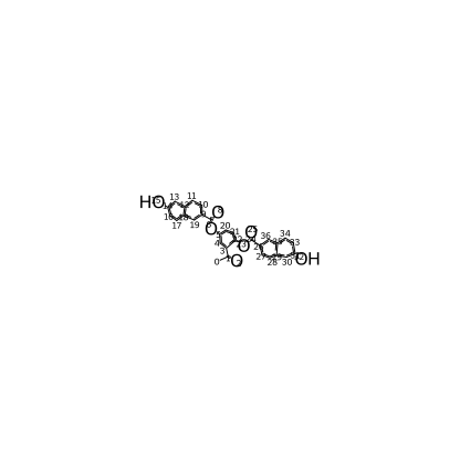 CC(=O)c1cc(OC(=O)c2ccc3cc(O)ccc3c2)ccc1OC(=O)c1ccc2cc(O)ccc2c1